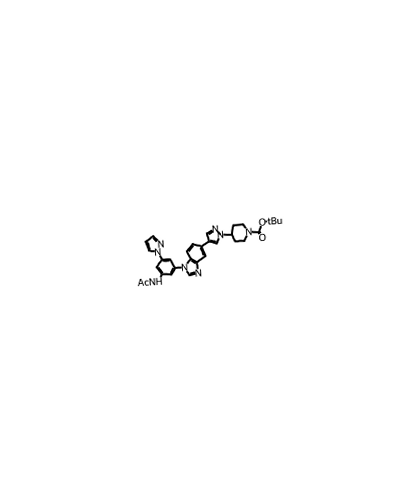 CC(=O)Nc1cc(-n2cccn2)cc(-n2cnc3cc(-c4cnn(C5CCN(C(=O)OC(C)(C)C)CC5)c4)ccc32)c1